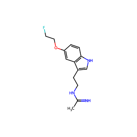 CC(=N)NCCc1c[nH]c2ccc(OCCF)cc12